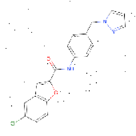 O=C(Nc1ccc(Cn2cccn2)cc1)c1cc2cc(Cl)ccc2o1